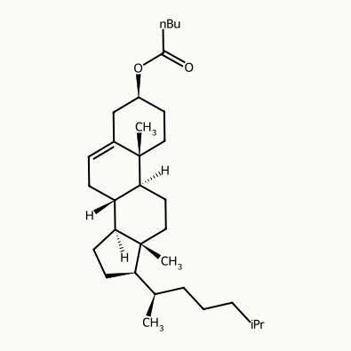 CCCCC(=O)O[C@H]1CC[C@@]2(C)C(=CC[C@H]3[C@@H]4CC[C@H]([C@H](C)CCCC(C)C)[C@@]4(C)CC[C@@H]32)C1